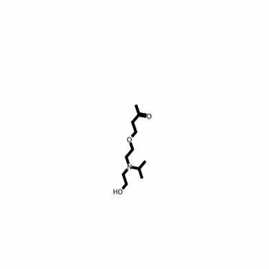 CC(=O)CCOCCN(CCO)C(C)C